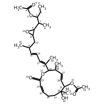 CCC(OC(C)=O)C(C)C1OC1CC(C)/C=C/C=C(\C)C1OC(=O)/C=C\CCC(C)(O)C(OC(C)=O)/C=C/C1C